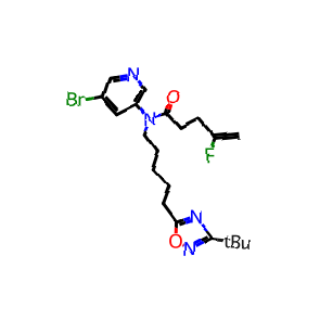 C=C(F)CCC(=O)N(CCCCCc1nc(C(C)(C)C)no1)c1cncc(Br)c1